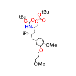 COCCCOc1cc(C[C@@H](C[C@@H](COC(=O)OC(C)(C)C)NC(=O)OC(C)(C)C)C(C)C)ccc1OC